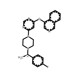 C[C@H](c1ccc(F)cc1)N1CCN(c2cc(Oc3cncc4ccccc34)ncn2)CC1